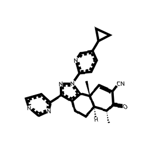 C[C@H]1C(=O)C(C#N)=C[C@@]2(C)c3c(c(-c4ccncn4)nn3-c3ccc(C4CC4)cn3)CC[C@H]12